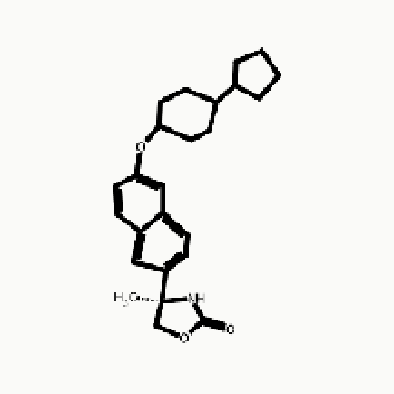 C[C@@]1(c2ccc3cc(OC4CCC(C5CCCC5)CC4)ccc3c2)COC(=O)N1